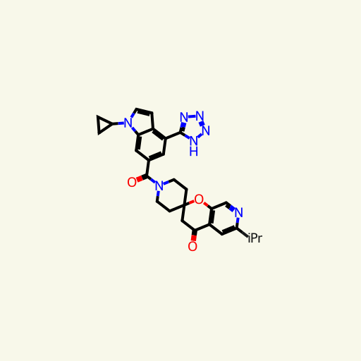 CC(C)c1cc2c(cn1)OC1(CCN(C(=O)c3cc(-c4nnn[nH]4)c4ccn(C5CC5)c4c3)CC1)CC2=O